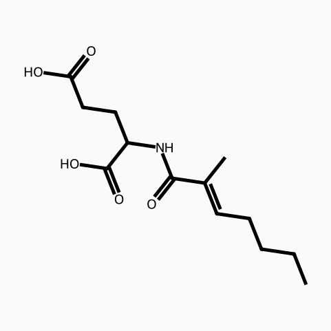 CCCC/C=C(\C)C(=O)NC(CCC(=O)O)C(=O)O